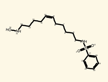 O=S(=O)(NCCCCC/C=C\CCCCNO)c1ccccc1